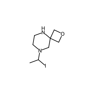 CC(I)N1CCNC2(COC2)C1